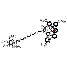 COc1ccc(C(OC(C(=O)c2ccccc2)[C@H]2O[C@@H](n3ccc(N)nc3=O)C[C@@H]2OP(=O)(OCCOCCOCCOCCOCCO[C@@H]2O[C@H](COC(C)=O)[C@H](OC(C)=O)[C@H](OC(C)=O)[C@H]2NC(C)=O)N(C(C)C)C(C)C)(c2ccccc2)c2ccc(OC)cc2)cc1